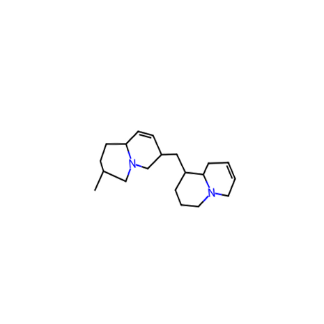 CC1CCC2C=CC(CC3CCCN4CC=CCC34)CN2C1